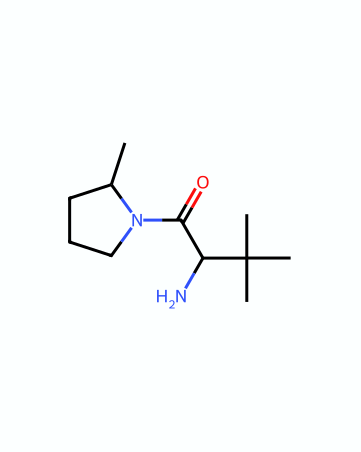 CC1CCCN1C(=O)C(N)C(C)(C)C